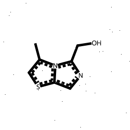 Cc1csc2cnc(CO)n12